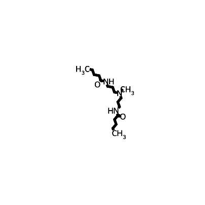 CCCCC(=O)NCCCN(C)CCCNC(=O)CCCC